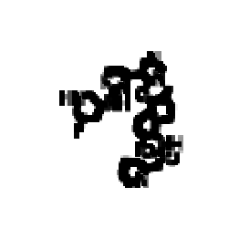 Cc1ccc2c(NS(=O)(=O)Cc3ccccn3)c(F)ccc2c1Oc1ncncc1-c1ccnc(N[C@@H]2CNC[C@@H](F)C2)n1